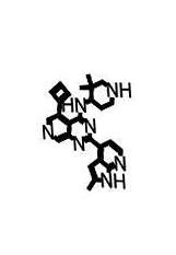 Cc1cc2c(-c3nc(NC4CCNCC4(C)C)c4c(C5=CC=C5)cncc4n3)ccnc2[nH]1